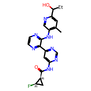 CCC(O)c1cc(C)c(Nc2nccnc2-c2cc(NC(=O)[C@H]3C[C@H]3F)ncn2)cn1